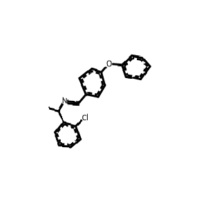 CC(/N=C/c1ccc(Oc2ccccc2)cc1)c1ccccc1Cl